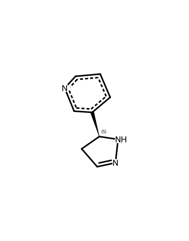 C1=NN[C@H](c2cccnc2)C1